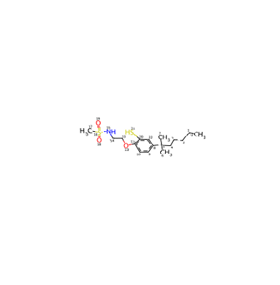 CCCCCC(C)(C)c1ccc(OCCNS(C)(=O)=O)c(S)c1